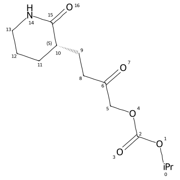 CC(C)OC(=O)OCC(=O)CC[C@@H]1CCCNC1=O